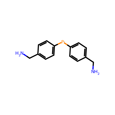 NCc1ccc([P]c2ccc(CN)cc2)cc1